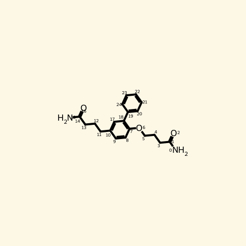 NC(=O)CCCOc1ccc(CCCC(N)=O)cc1-c1ccccc1